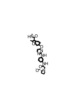 CNC(=O)c1c(C)oc2cc(Oc3ccnc(Nc4cccc(NC(=O)CN5CCC[C@@H]5COC)c4)n3)ccc12